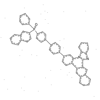 O=P(c1ccccc1)(c1ccc(-c2ccc(-c3ccc4c5cc6ccccc6cc5c5nc6ccccc6n5c4c3)cc2)cc1)c1ccc2ccccc2c1